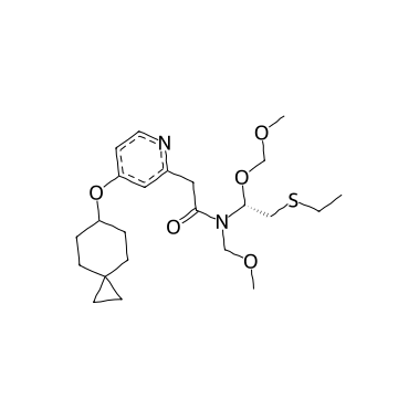 CCSC[C@@H](OCOC)N(COC)C(=O)Cc1cc(OC2CCC3(CC2)CC3)ccn1